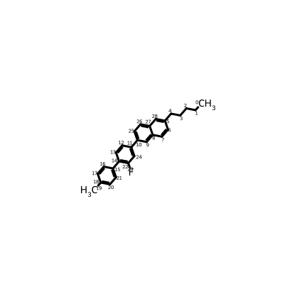 CCCCCc1ccc2cc(-c3ccc(-c4ccc(C)cc4)c(F)c3)ccc2c1